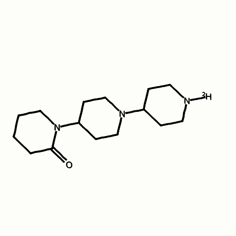 [2H]N1CCC(N2CCC(N3CCCCC3=O)CC2)CC1